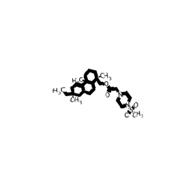 CC[C@@]1(C)CC=C2C(CCC3[C@](C)(COC(=O)CN4CCN(S(C)(=O)=O)CC4)CCC[C@@]23C)C1